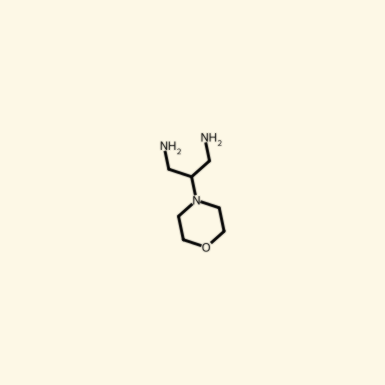 NCC(CN)N1CCOCC1